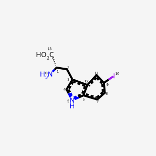 N[C@@H](Cc1c[nH]c2ccc(I)cc12)C(=O)O